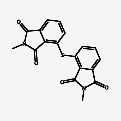 CN1C(=O)c2cccc(Sc3cccc4c3C(=O)N(C)C4=O)c2C1=O